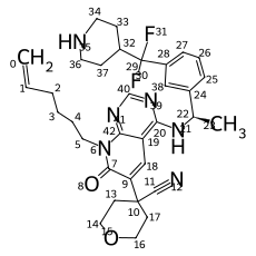 C=CCCCCn1c(=O)c(C2(C#N)CCOCC2)cc2c(N[C@H](C)c3cccc(C(F)(F)C4CCNCC4)c3)ncnc21